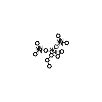 C1=C(c2nc(-c3ccccc3)nc(-c3ccccc3)n2)CCC(C2N=C(c3ccc(-c4nc(-c5ccccc5)nc(-c5ccccc5)n4)cc3)c3cc(-c4cccc(-c5ccccc5)c4)cc(-c4cccc(-c5ccccc5)c4)c3N2)=C1